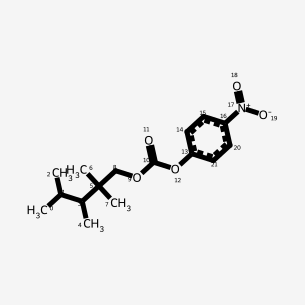 CC(C)C(C)C(C)(C)COC(=O)Oc1ccc([N+](=O)[O-])cc1